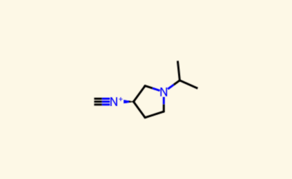 C#[N+][C@@H]1CCN(C(C)C)C1